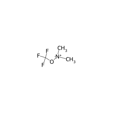 C[N+](C)OC(F)(F)F